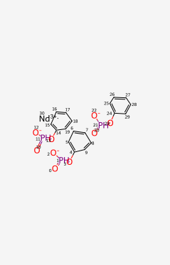 O=[PH]([O-])Oc1ccccc1.O=[PH]([O-])Oc1ccccc1.O=[PH]([O-])Oc1ccccc1.[Nd+3]